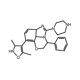 CC1=C(C2=C3OCC(c4ccccc4)N4C(N5CCNCC5)=NC(C=C2)C34)C(C)NO1